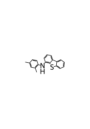 Cc1ccc(Nc2cccc3c2sc2ccccc23)c(C)c1